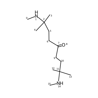 CNC(C)(C)CCC(=O)CCC(C)(C)NC